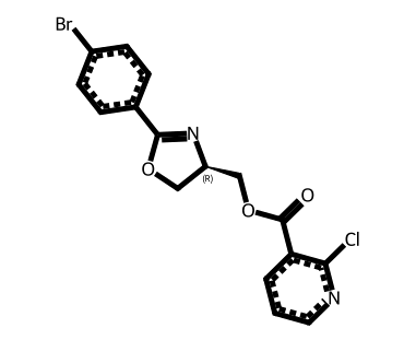 O=C(OC[C@H]1COC(c2ccc(Br)cc2)=N1)c1cccnc1Cl